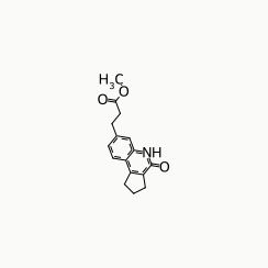 COC(=O)CCc1ccc2c3c(c(=O)[nH]c2c1)CCC3